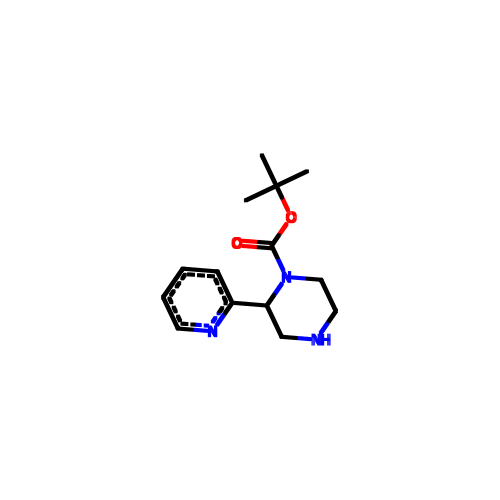 CC(C)(C)OC(=O)N1CCNCC1c1ccccn1